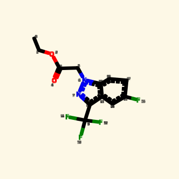 CCOC(=O)Cn1nc(C(F)(F)F)c2cc(F)ccc21